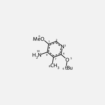 COc1cnc(OC(C)(C)C)c(C)c1N